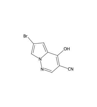 N#Cc1cnn2cc(Br)cc2c1O